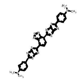 CN(C)c1ccc(-c2nc3sc(-c4ccc(-c5nc6sc(-c7ccc(N(C)C)cc7)nc6s5)c5nsnc45)nc3s2)cc1